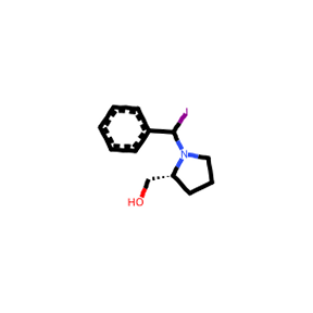 OC[C@H]1CCCN1C(I)c1ccccc1